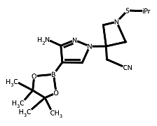 CC(C)SN1CC(CC#N)(n2cc(B3OC(C)(C)C(C)(C)O3)c(N)n2)C1